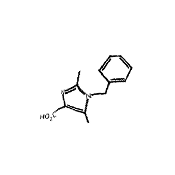 Cc1nc(C(=O)O)c(C)n1Cc1ccccc1